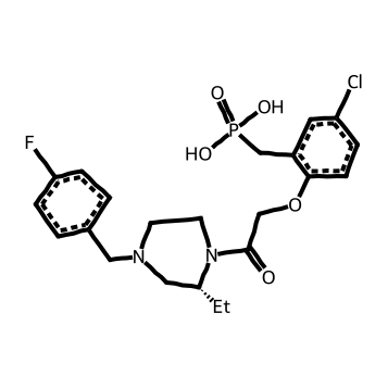 CC[C@@H]1CN(Cc2ccc(F)cc2)CCN1C(=O)COc1ccc(Cl)cc1CP(=O)(O)O